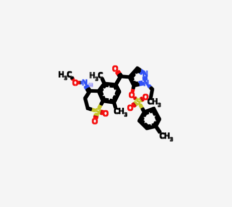 CCn1ncc(C(=O)c2cc(C)c3c(c2C)/C(=N/OC)CCS3(=O)=O)c1OS(=O)(=O)c1ccc(C)cc1